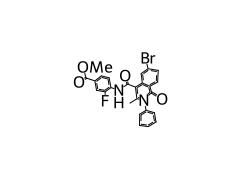 COC(=O)c1ccc(NC(=O)c2c(C)n(-c3ccccc3)c(=O)c3ccc(Br)cc23)c(F)c1